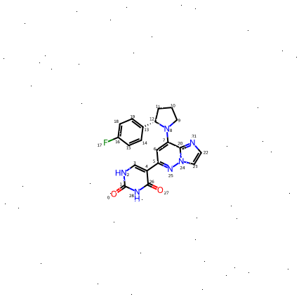 O=c1[nH]cc(-c2cc(N3CCC[C@H]3c3ccc(F)cc3)c3nccn3n2)c(=O)[nH]1